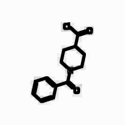 O=C(Cl)C1CCN(C(=O)c2ccccc2)CC1